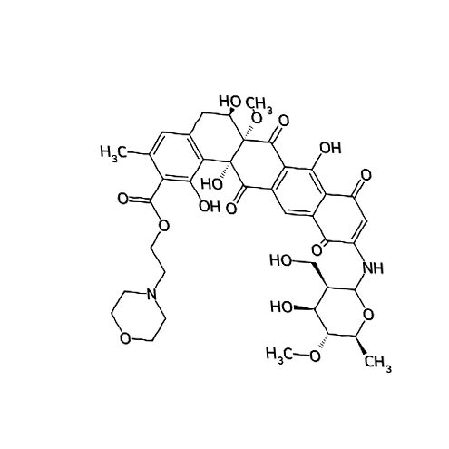 CO[C@@H]1[C@@H](O)[C@@H](CO)C(NC2=CC(=O)c3c(cc4c(c3O)C(=O)[C@]3(OC)[C@H](O)Cc5cc(C)c(C(=O)OCCN6CCOCC6)c(O)c5[C@]3(O)C4=O)C2=O)O[C@H]1C